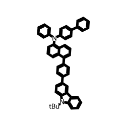 CC(C)(C)n1c2ccccc2c2cc(-c3ccc(-c4cccc5c(N(c6ccccc6)c6ccc(-c7ccccc7)cc6)cccc45)cc3)ccc21